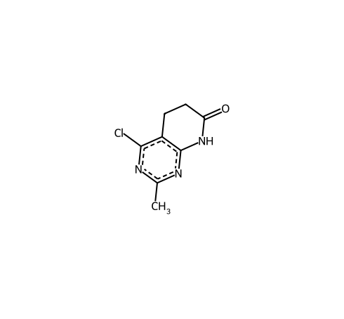 Cc1nc(Cl)c2c(n1)NC(=O)CC2